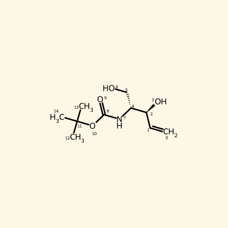 C=C[C@H](O)[C@@H](CO)NC(=O)OC(C)(C)C